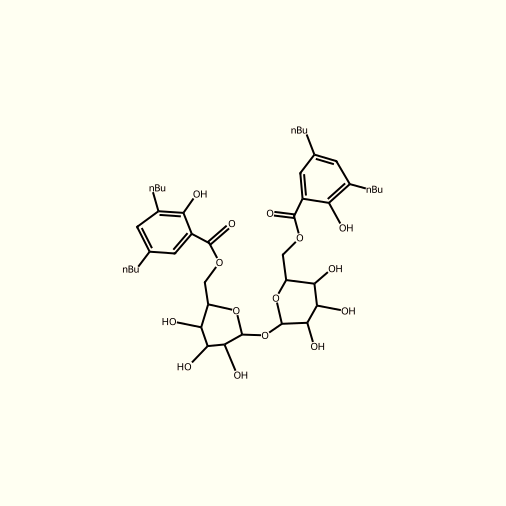 CCCCc1cc(CCCC)c(O)c(C(=O)OCC2OC(OC3OC(COC(=O)c4cc(CCCC)cc(CCCC)c4O)C(O)C(O)C3O)C(O)C(O)C2O)c1